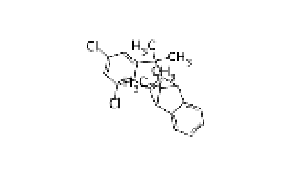 CC1(C)C2=C(c3c(Cl)cc(Cl)cc31)C1c3ccccc3C2C1(C)C